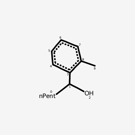 [CH2]CCCCC(O)c1ccccc1C